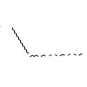 O=C(O)CCCCCCCCCCCCCCCCC(=O)NC(CCCCNC(=O)CCOCCOCCNC(=O)CCOCCOCCNC(=O)CP)C(=O)O